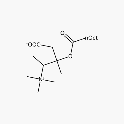 CCCCCCCCC(=O)OC(C)(CC(=O)[O-])C(C)[N+](C)(C)C